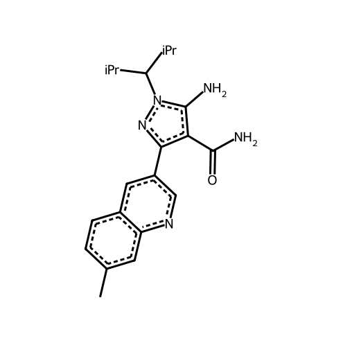 Cc1ccc2cc(-c3nn(C(C(C)C)C(C)C)c(N)c3C(N)=O)cnc2c1